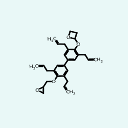 C=CCc1cc(-c2cc(CC=C)c(OC3CCO3)c(CC=C)c2)cc(CC=C)c1OCC1CO1